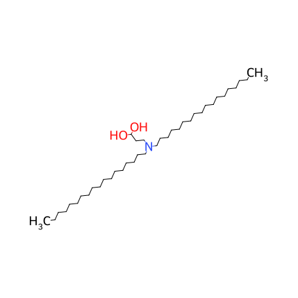 CCCCCCCCCCCCCCCCCCN(CCCCCCCCCCCCCCCCCC)CCC(O)O